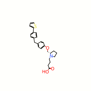 O=C(O)CCCN1CCC[C@H]1COc1ccc(Cc2ccc(-c3cccs3)cc2)cc1